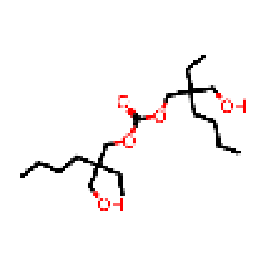 CCCCC(CC)(CO)COC(=O)OCC(CC)(CO)CCCC